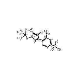 CCS(=O)(=O)c1ccc(-c2nn3c(c2C(=O)O)OCC(C)(C)C3)c(F)c1